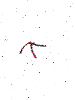 C=C(CCCCCCC/C=C/CCCCCCCC)OCC(COC(=O)CCCCCCC/C=C/C/C=C/CCCCC)OC(=C)CCCCCCCCC/C=C/C=C/C=C/CC